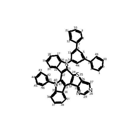 c1ccc(-c2cc(-c3ccccc3)cc(-n3c4ccccc4c4c3c3sc5cncnc5c3c3c5ccccc5n(-c5ccccc5)c34)c2)cc1